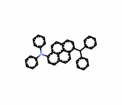 c1ccc(C(c2ccccc2)c2ccc3ccc4c(N(c5ccccc5)c5ccccc5)ccc5ccc2c3c54)cc1